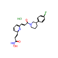 Cl.O=C(C=Cc1cccc(C=CC(=O)N2CCCC(c3ccc(F)cc3)C2)n1)NO